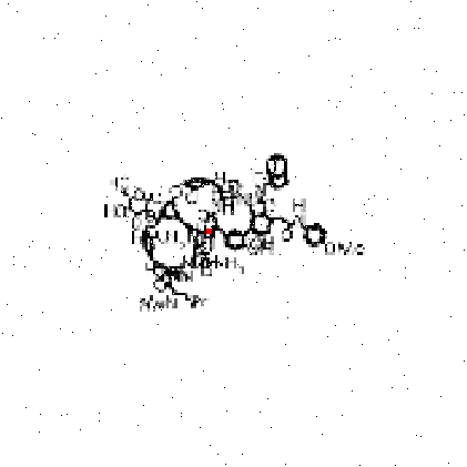 CN[C@H](CC(C)C)C(=O)N[C@H]1C(=O)N[C@@H](CC(N)=O)C(=O)N[C@H]2C(=O)N[C@H]3C(=O)N[C@H](C(=O)N[C@H](C(=O)NC4C5CC6CC(C5)CC4C6)c4cc(CC(=O)Nc5ccc(OC)cc5)cc(O)c4-c4cc3ccc4O)[C@H](O)c3ccc(c(Cl)c3)Oc3cc2cc(c3O[C@@H]2O[C@H](CO)[C@@H](O)[C@H](O)[C@H]2O)Oc2ccc(cc2C)[C@H]1O